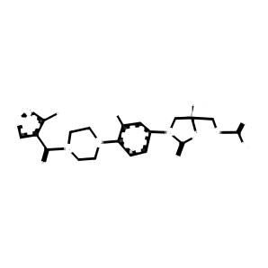 Cc1nocc1C(=O)N1CCN(c2ccc(N3C[C@](C)(CNC(O)=S)OC3=O)cc2F)CC1